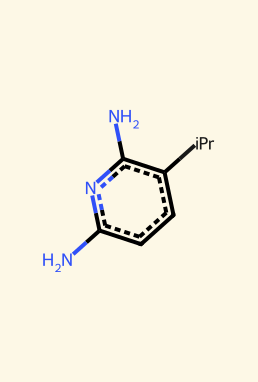 CC(C)c1ccc(N)nc1N